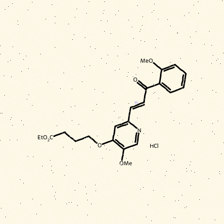 CCOC(=O)CCCOc1cc(/C=C/C(=O)c2ccccc2OC)ncc1OC.Cl